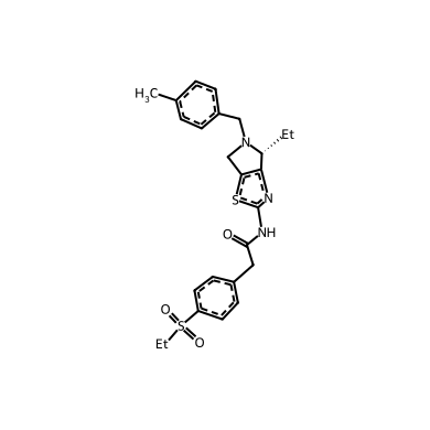 CC[C@@H]1c2nc(NC(=O)Cc3ccc(S(=O)(=O)CC)cc3)sc2CN1Cc1ccc(C)cc1